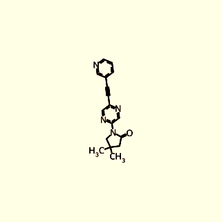 CC1(C)CC(=O)N(c2cnc(C#Cc3cccnc3)cn2)C1